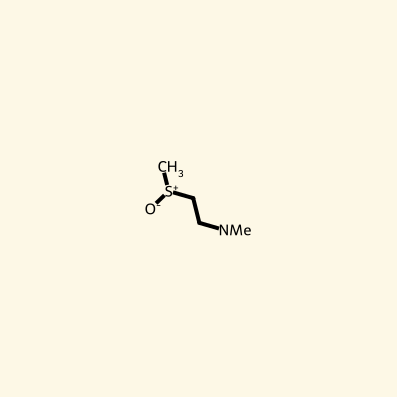 [CH2]NCC[S+](C)[O-]